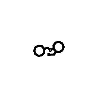 BrCC1CCCCCCCC1OCC1CCCCCCCC1